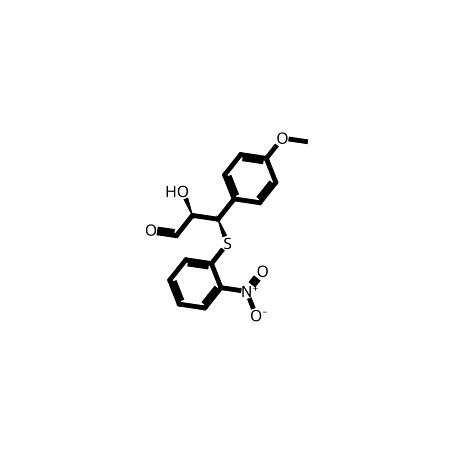 COc1ccc([C@@H](Sc2ccccc2[N+](=O)[O-])[C@H](O)C=O)cc1